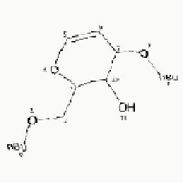 CCCCOCC1OC=CC(OCCCC)C1O